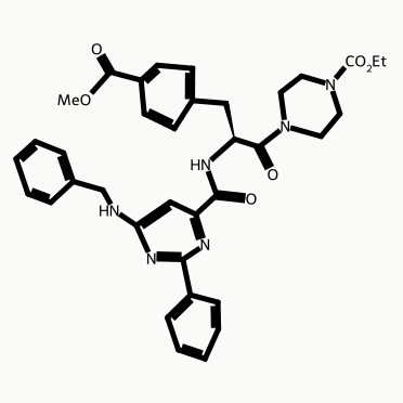 CCOC(=O)N1CCN(C(=O)[C@H](Cc2ccc(C(=O)OC)cc2)NC(=O)c2cc(NCc3ccccc3)nc(-c3ccccc3)n2)CC1